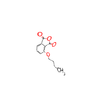 CCCCOc1cccc2c1C(=O)OC2=O